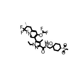 CCn1nc(C(=O)NC[C@]2(O)CC[C@@H](S(C)(=O)=O)CC2)c(C)c1-c1cnc(C[C@@H](C)C(F)(F)F)cc1OC(F)F